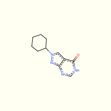 O=c1[nH]cnc2nn(C3CCCCC3)cc12